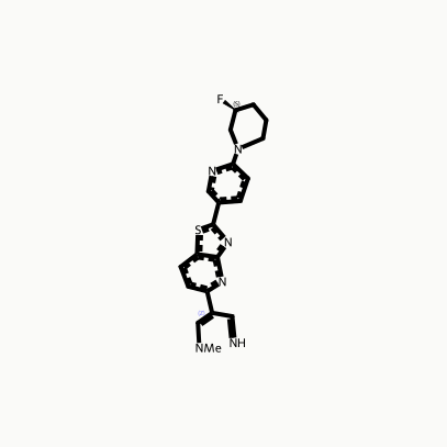 CN/C=C(\C=N)c1ccc2sc(-c3ccc(N4CCC[C@H](F)C4)nc3)nc2n1